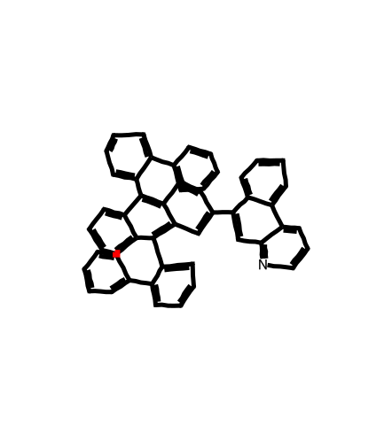 c1ccc(-c2ccccc2-c2c3ccccc3c(-c3ccccc3-c3ccccc3)c3cc(-c4cc5ncccc5c5ccccc45)ccc23)cc1